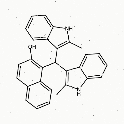 Cc1[nH]c2ccccc2c1C(c1c(O)ccc2ccccc12)c1c(C)[nH]c2ccccc12